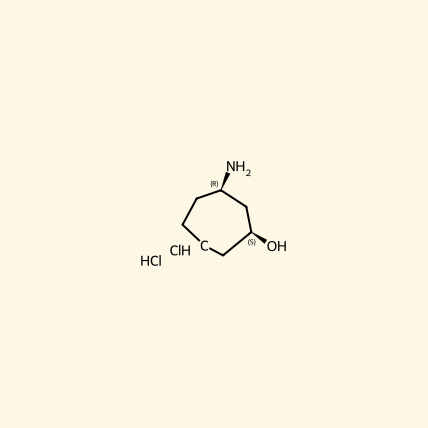 Cl.Cl.N[C@@H]1CCCC[C@H](O)C1